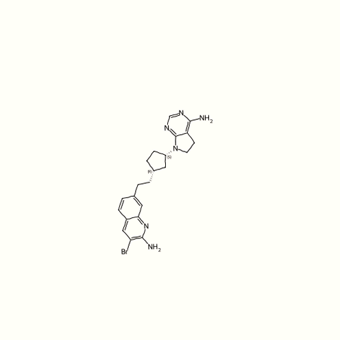 Nc1nc2cc(CC[C@@H]3CC[C@H](N4CCc5c(N)ncnc54)C3)ccc2cc1Br